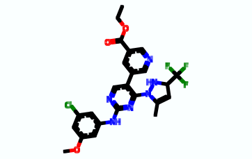 CCOC(=O)c1cncc(-c2cnc(Nc3cc(Cl)cc(OC)c3)nc2N2NC(C(F)(F)F)C=C2C)c1